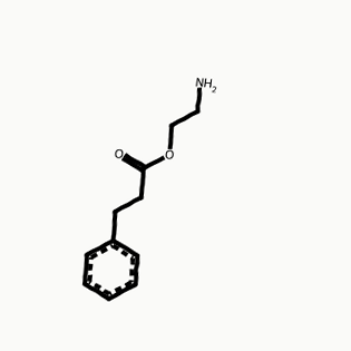 NCCOC(=O)CCc1ccccc1